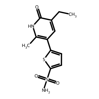 CCc1cc(-c2ccc(S(N)(=O)=O)s2)c(C)[nH]c1=O